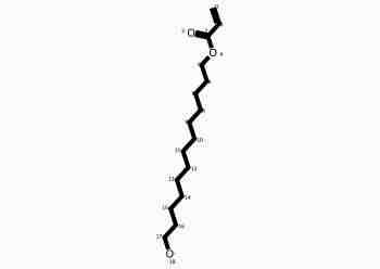 C=CC(=O)OCCCCCCCCCCCCC[O]